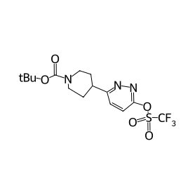 CC(C)(C)OC(=O)N1CCC(c2ccc(OS(=O)(=O)C(F)(F)F)nn2)CC1